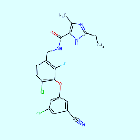 CCc1nc(C)c(C(=O)NCc2ccc(Cl)c(Oc3cc(Cl)cc(C#N)c3)c2F)[nH]1